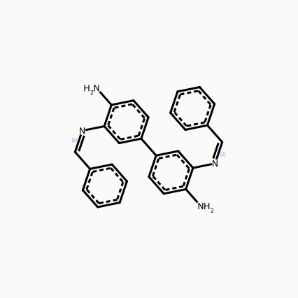 Nc1ccc(-c2ccc(N)c(/N=C\c3ccccc3)c2)cc1/N=C\c1ccccc1